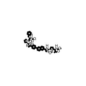 COC(=O)N[C@@H](C(C)C)C1CC[C@@H](C2=NCC(c3ccc4cc(-c5ccc(-c6cnc([C@@H]7CCCN7C(=O)[C@@H](Cc7ccccc7)NC(=O)OC)[nH]6)cc5)ccc4c3)N2)N1C=O